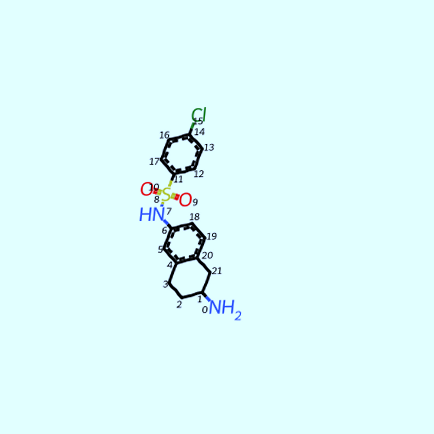 NC1CCc2cc(NS(=O)(=O)c3ccc(Cl)cc3)ccc2C1